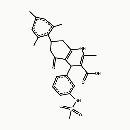 CC1=C(C(=O)O)C(c2cccc(NS(C)(=O)=O)c2)C2=C(CC(c3c(C)cc(C)cc3C)CC2=O)N1